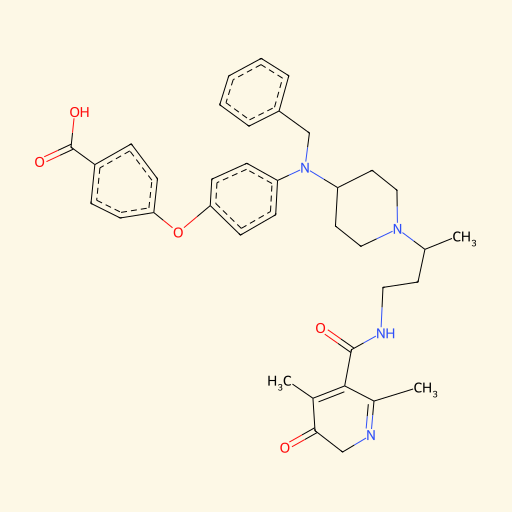 CC1=NCC(=O)C(C)=C1C(=O)NCCC(C)N1CCC(N(Cc2ccccc2)c2ccc(Oc3ccc(C(=O)O)cc3)cc2)CC1